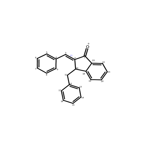 O=C1/C(=C/c2ccccc2)C(Cc2ccccc2)c2ccccc21